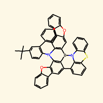 CC(C)(C)c1ccc(N2c3cc4c(cc3B3c5c(cc6c(oc7ccccc76)c52)-c2cccc5c2N3c2ccccc2S5)oc2ccccc24)c(-c2ccccc2)c1